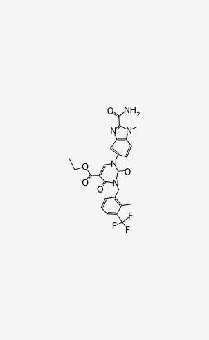 CCOC(=O)c1cn(-c2ccc3c(c2)nc(C(N)=O)n3C)c(=O)n(Cc2cccc(C(F)(F)F)c2C)c1=O